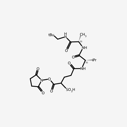 CC(C)[C@H](NC(=O)CCC(C(=O)ON1C(=O)CCC1=O)S(=O)(=O)O)C(=O)N[C@@H](C)C(=O)NCC(C)(C)C